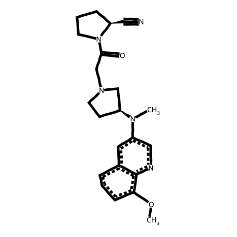 COc1cccc2cc(N(C)[C@H]3CCN(CC(=O)N4CCC[C@H]4C#N)C3)cnc12